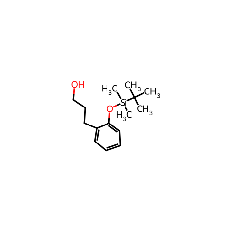 CC(C)(C)[Si](C)(C)Oc1ccccc1CCCO